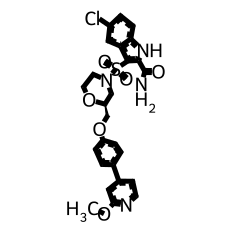 COc1cc(-c2ccc(OC[C@@H]3CN(S(=O)(=O)c4c(C(N)=O)[nH]c5ccc(Cl)cc45)CCO3)cc2)ccn1